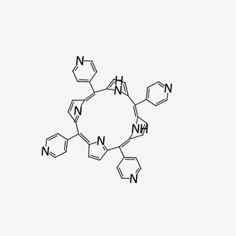 C1=Cc2nc1c(-c1ccncc1)c1nc(c(-c3ccncc3)c3ccc([nH]3)c(-c3ccncc3)c3ccc([nH]3)c2-c2ccncc2)C=C1